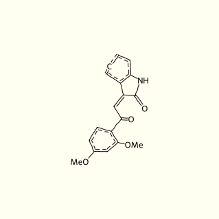 COc1ccc(C(=O)C=C2C(=O)Nc3ccccc32)c(OC)c1